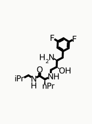 CCC[C@H](NC[C@@H](O)[C@@H](N)Cc1cc(F)cc(F)c1)C(=O)NCC(C)C